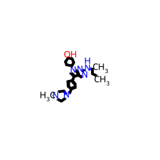 CCC[C@H](C)Nc1ncc2c(-c3ccc(CN4CCCN(C)CC4)cc3)cn([C@H]3CC[C@H](O)CC3)c2n1